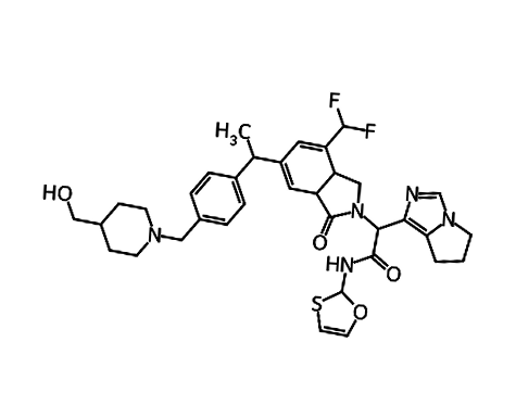 CC(C1=CC2C(=O)N(C(C(=O)NC3OC=CS3)c3ncn4c3CCC4)CC2C(C(F)F)=C1)c1ccc(CN2CCC(CO)CC2)cc1